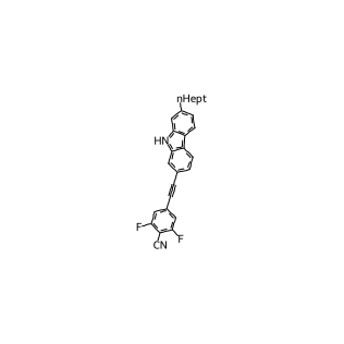 CCCCCCCc1ccc2c(c1)[nH]c1cc(C#Cc3cc(F)c(C#N)c(F)c3)ccc12